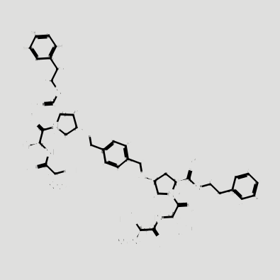 CN[C@@H](C)C(=O)N[C@H](C(=O)N1C[C@@H](OCc2ccc(CO[C@H]3C[C@@H](C(=O)NCCc4ccccc4)N(C(=O)[C@@H](NC(=O)[C@H](C)NC)C(C)(C)C)C3)cc2)C[C@H]1C(=O)NCCc1ccccc1)C(C)(C)C